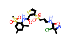 Cc1cc(C)c(NC(=O)c2sccc2S(=O)(=O)CC=CNc2onc(C)c2Cl)c(S(C)(=O)=O)c1